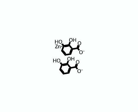 O=C([O-])c1cccc(O)c1O.O=C([O-])c1cccc(O)c1O.[Zn+2]